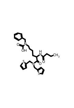 CCCC(=O)NC(CCCCN(Cc1ccccc1)C(=O)O)C(=O)N(Cc1cccs1)Cc1cccs1